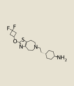 N[C@H]1CC[C@H](CCN2CCc3nc(OC4CC(F)(F)C4)sc3CC2)CC1